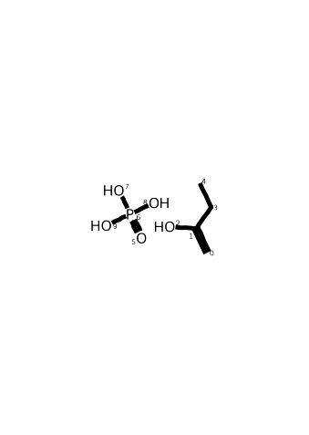 C=C(O)CC.O=P(O)(O)O